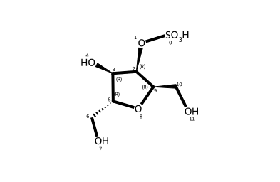 O=S(=O)(O)O[C@@H]1[C@H](O)[C@@H](CO)O[C@@H]1CO